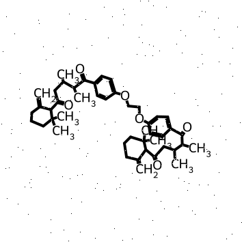 C=C1CCCC(C)(C)C1C(=O)CC(C)C(C)C(=O)c1ccc(OCCOc2ccc(C(=O)C(C)C(C)CC(=O)C3C(=C)CCCC3(C)C)cc2)cc1